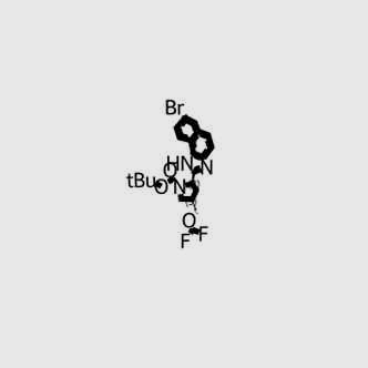 CC(C)(C)OC(=O)N1C[C@@H](COC(F)F)C[C@@H]1c1nc2ccc3cc(Br)ccc3c2[nH]1